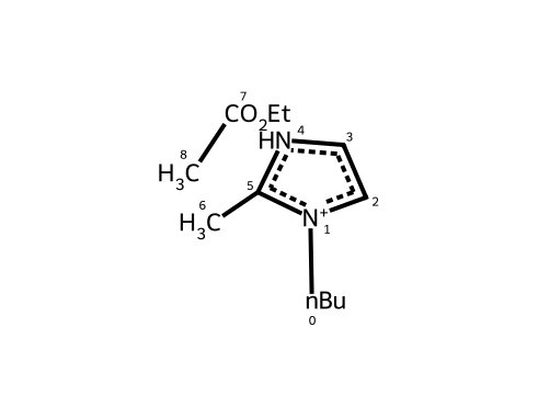 CCCC[n+]1cc[nH]c1C.CCOC(C)=O